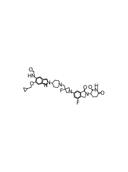 O=CNc1cc2cn(C3CCN(CC4(F)CN(c5cc(F)c6c(c5)C(=O)N(C5CCC(=O)NC5=O)C6)C4)CC3)nc2cc1OCC1CC1